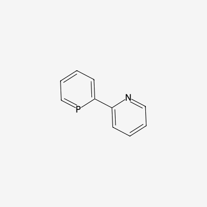 c1ccc(-c2ccccp2)nc1